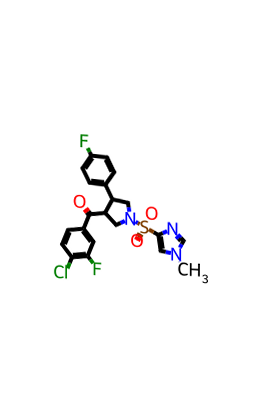 Cn1cnc(S(=O)(=O)N2CC(C(=O)c3ccc(Cl)c(F)c3)C(c3ccc(F)cc3)C2)c1